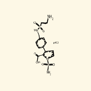 Cl.NCCS(=O)(=O)Nc1ccc(-c2ccn(S(N)(=O)=O)c2C(=O)O)cc1